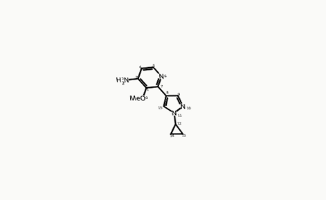 COc1c(N)ccnc1-c1cnn(C2CC2)c1